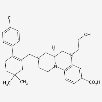 CC1(C)CCC(c2ccc(Cl)cc2)=C(CN2CCN3c4ccc(C(=O)O)cc4N(CCO)C[C@@H]3C2)C1